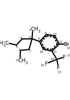 CCCC(C)(CCC)c1ccc(Br)c(C(F)(F)F)c1